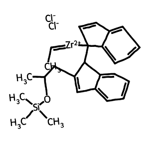 C[CH]=[Zr+2][C]1(C2C(CC(C)O[Si](C)(C)C)=Cc3ccccc32)C=Cc2ccccc21.[Cl-].[Cl-]